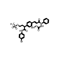 CC(C)(C)OC(=O)NN(C(=O)C=Cc1ccc(C(CCOS(C)(=O)=O)C(=O)Nc2ccc(Br)cc2)cc1)c1ccccc1